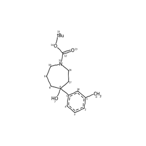 Cc1cccc(C2(O)CCCN(C(=O)OC(C)(C)C)CC2)c1